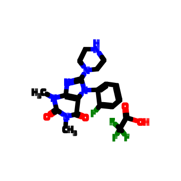 Cn1c(=O)c2c(nc(N3CCNCC3)n2-c2ccccc2F)n(C)c1=O.O=C(O)C(F)(F)F